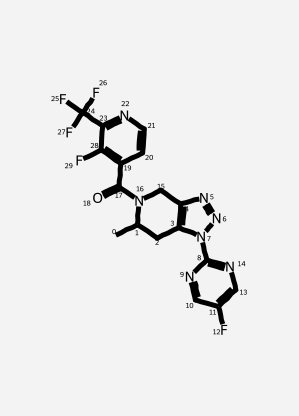 CC1Cc2c(nnn2-c2ncc(F)cn2)CN1C(=O)c1ccnc(C(F)(F)F)c1F